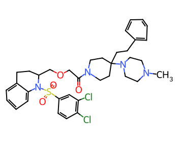 CN1CCN(C2(CCc3ccccc3)CCN(C(=O)COCC3CCc4ccccc4N3S(=O)(=O)c3ccc(Cl)c(Cl)c3)CC2)CC1